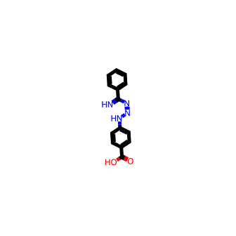 N=C(/N=N\Nc1ccc(C(=O)O)cc1)c1ccccc1